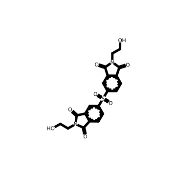 O=C1c2ccc(S(=O)(=O)c3ccc4c(c3)C(=O)N(CCO)C4=O)cc2C(=O)N1CCO